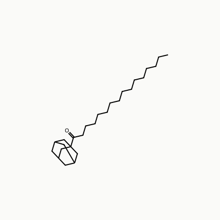 CCCCCCCCCCCCCCCC(=O)C12CC3CC(CC(C3)C1)C2